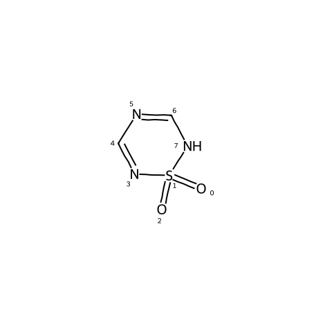 O=S1(=O)N=CN=CN1